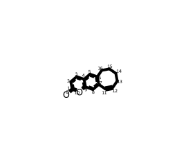 O=c1ccc2cc3c(cc2o1)C#CCCCC3